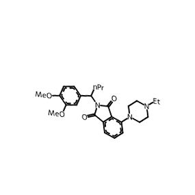 [CH2]CCC(c1ccc(OC)c(OC)c1)N1C(=O)c2cccc(N3CCN(CC)CC3)c2C1=O